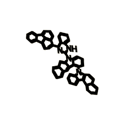 c1ccc2c(c1)NC(n1c3cc4ccccc4cc3c3c(-n4c5ccccc5c5c6ccccc6ccc54)cccc31)N=C2c1ccc2c3c(cccc13)-c1ccccc1-2